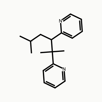 C[C](C)CC(c1ccccn1)C(C)(C)c1ccccn1